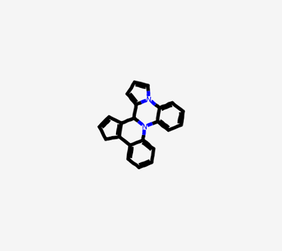 C1=CC2=C(C1)c1ccccc1N1c3ccccc3-n3cccc3C21